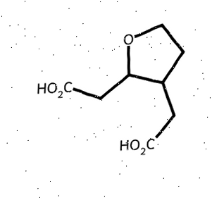 O=C(O)CC1CCOC1CC(=O)O